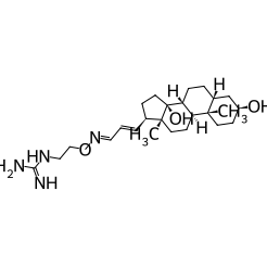 C[C@]12CC[C@H](O)C[C@H]1CC[C@@H]1[C@@H]2CC[C@]2(C)[C@@H](/C=C/C=N/OCCNC(=N)N)CC[C@]12O